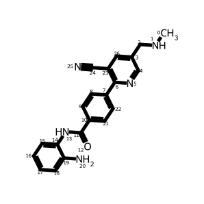 CNCc1cnc(-c2ccc(C(=O)Nc3ccccc3N)cc2)c(C#N)c1